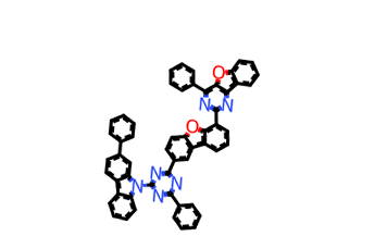 c1ccc(-c2ccc3c4ccccc4n(-c4nc(-c5ccccc5)nc(-c5ccc6oc7c(-c8nc(-c9ccccc9)c9oc%10ccccc%10c9n8)cccc7c6c5)n4)c3c2)cc1